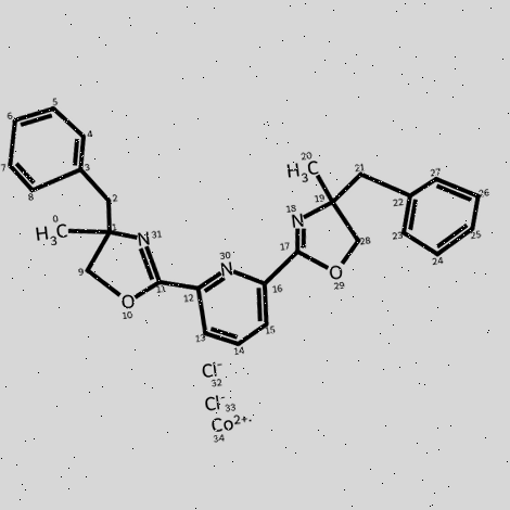 CC1(Cc2ccccc2)COC(c2cccc(C3=NC(C)(Cc4ccccc4)CO3)n2)=N1.[Cl-].[Cl-].[Co+2]